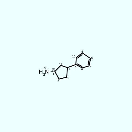 N[C@H]1CCC(c2ccccc2)C1